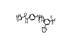 O=C(Nc1ccc(NC(=S)Nc2cc(N3CCCC3)cc(C(F)(F)F)c2)cc1)c1csnn1